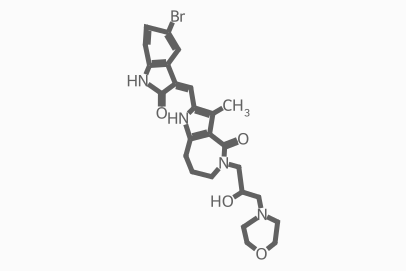 Cc1c(C=C2C(=O)Nc3ccc(Br)cc32)[nH]c2c1C(=O)N(CC(O)CN1CCOCC1)CCC2